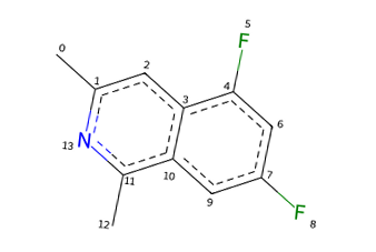 Cc1cc2c(F)cc(F)cc2c(C)n1